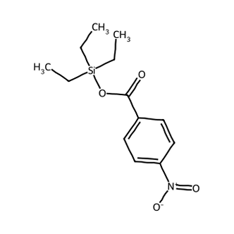 CC[Si](CC)(CC)OC(=O)c1ccc([N+](=O)[O-])cc1